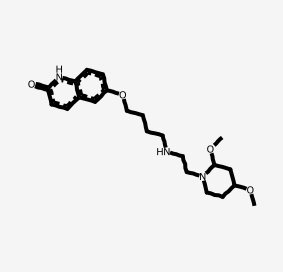 COC1CCN(CCNCCCCOc2ccc3[nH]c(=O)ccc3c2)C(OC)C1